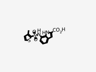 Cc1ccsc1S(=O)(=O)Nc1cccc2cc(C(=O)O)[nH]c12